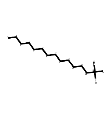 [CH2]CCCCCCCCCCCCC(C)(F)F